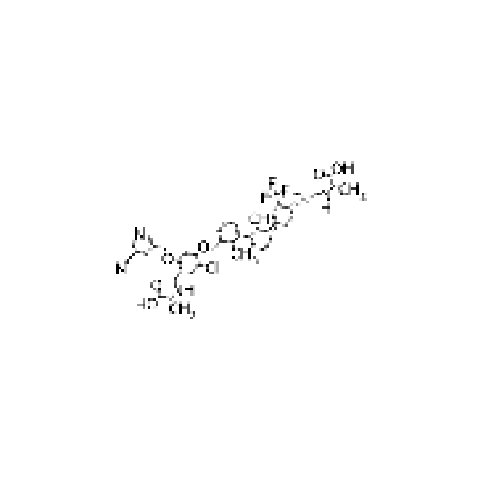 Cc1c(COc2cc(OCc3cncc(C#N)c3)c(CNC(C)C(=O)O)cc2Cl)cccc1-c1cccc(-c2ccc(OCCNC(C)C(=O)O)c(C(F)(F)F)c2)c1C